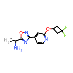 CC(N)c1nc(-c2ccnc(OC3CC(F)(F)C3)c2)no1